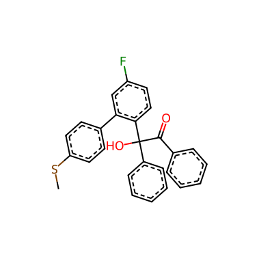 CSc1ccc(-c2cc(F)ccc2C(O)(C(=O)c2ccccc2)c2ccccc2)cc1